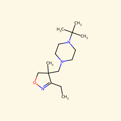 CCC1=NOCC1(C)CN1CCN(C(C)(C)C)CC1